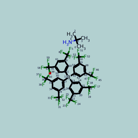 CC(C)(C)[NH3+].FC(F)(F)c1cc([B-](c2cc(C(F)(F)F)cc(C(F)(F)F)c2)(c2cc(C(F)(F)F)cc(C(F)(F)F)c2)c2cc(C(F)(F)F)cc(C(F)(F)F)c2)cc(C(F)(F)F)c1